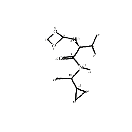 CC(C)[C@H](NC1OCO1)C(=O)N(C)[C@H](C)C1CC1